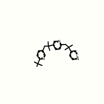 CC(C)(C)c1ccc(CC(C)(C)c2ccc(CC(C)(C)c3ccncc3)nc2)cn1